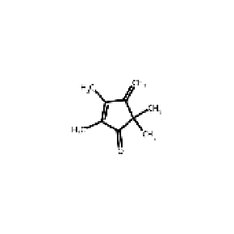 C=C1C(C)=C(C)C(=O)C1(C)C